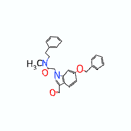 CN(CCc1ccccc1)C(=O)Cn1cc(C=O)c2ccc(OCc3ccccc3)cc21